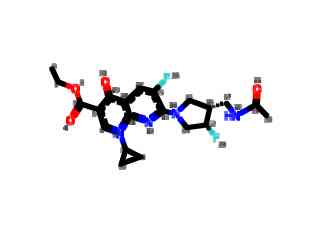 CCOC(=O)c1cn(C2CC2)c2nc(N3C[C@H](CNC(C)=O)[C@@H](F)C3)c(F)cc2c1=O